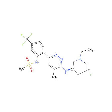 CCN1C[C@H](F)C[C@@H](Nc2nnc(-c3ccc(C(F)(F)F)cc3NS(C)(=O)=O)cc2C)C1